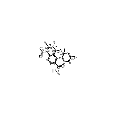 CNC(=O)c1ccc2c(c1)[C@H](Nc1cccc(C)n1)[C@@H](C)[C@H](C)N2C(C)=O